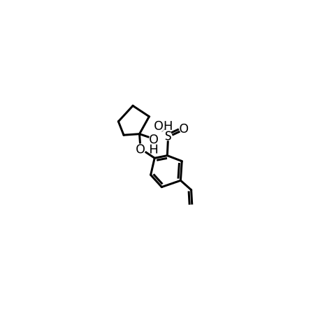 C=Cc1ccc(OC2(O)CCCC2)c([SH](=O)=O)c1